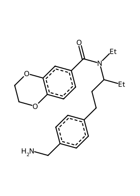 CCC(CCc1ccc(CN)cc1)N(CC)C(=O)c1ccc2c(c1)OCCO2